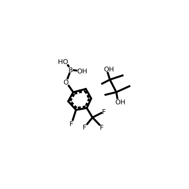 CC(C)(O)C(C)(C)O.OB(O)Oc1ccc(C(F)(F)F)c(F)c1